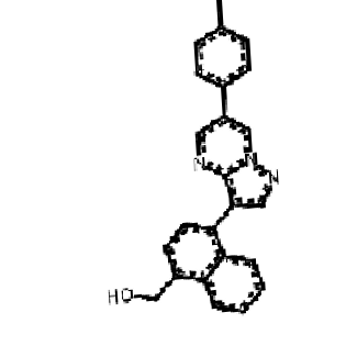 Cc1ccc(-c2cnc3c(-c4ccc(CO)c5ccccc45)cnn3c2)cc1